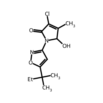 CCC(C)(C)c1cc(N2C(=O)C(Cl)=C(C)C2O)no1